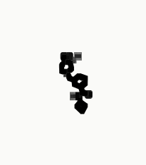 O=C(NC1CCC1)c1cccc(CN2CCN(C(=O)O)CC2)c1